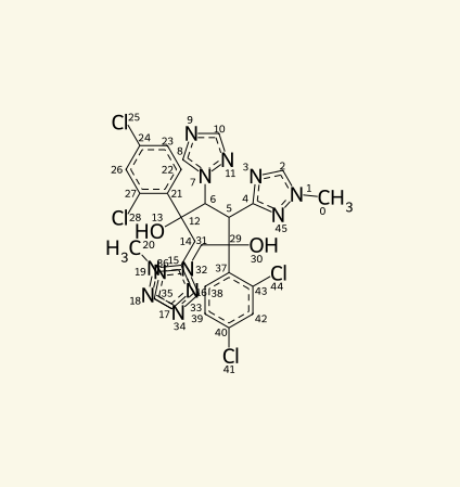 Cn1cnc(C(C(n2cncn2)C(O)(Cc2ncnn2C)c2ccc(Cl)cc2Cl)C(O)(Cn2cncn2)c2ccc(Cl)cc2Cl)n1